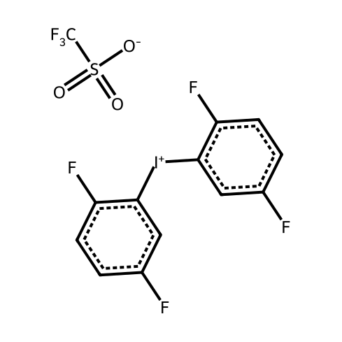 Fc1ccc(F)c([I+]c2cc(F)ccc2F)c1.O=S(=O)([O-])C(F)(F)F